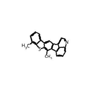 Cc1cccc2c1sc1c(C)c3c(cc12)-c1ccnc2cccc-3c12